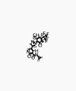 COc1cc(C(F)(C(F)(F)F)C(F)(F)F)cc(Cl)c1-n1cc(-c2cnc(Cl)c(C(=O)NC3CC3)c2)cn1